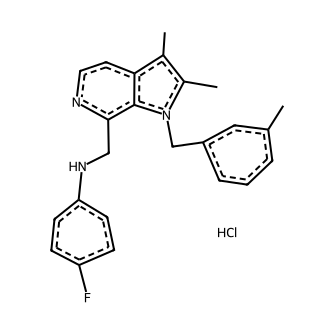 Cc1cccc(Cn2c(C)c(C)c3ccnc(CNc4ccc(F)cc4)c32)c1.Cl